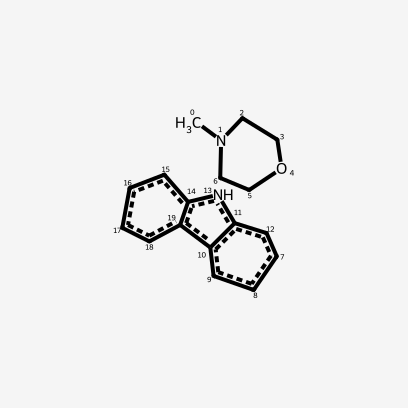 CN1CCOCC1.c1ccc2c(c1)[nH]c1ccccc12